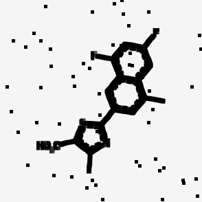 Cc1nc(-c2cc(C)c3cc(F)cc(F)c3c2)sc1C(=O)O